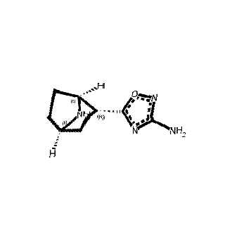 Nc1noc([C@@H]2C[C@H]3CC[C@@H]2N3)n1